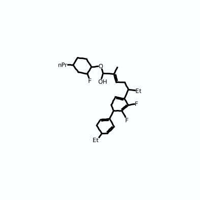 CCCC1CCC(OC(O)/C(C)=C/CC(CC)C2=CCC(C3=CCC(CC)C=C3)C(F)=C2F)C(F)C1